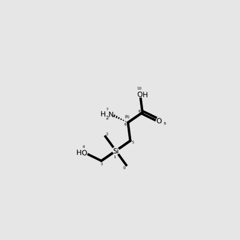 C[Si](C)(CO)C[C@H](N)C(=O)O